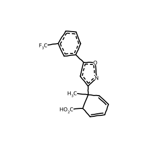 CC1(c2cc(-c3cccc(C(F)(F)F)c3)on2)C=CC=CC1C(=O)O